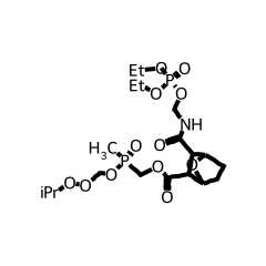 CCOP(=O)(OCC)OCNC(=O)C1C2CCC(O2)C1C(=O)OCP(C)(=O)OCOOC(C)C